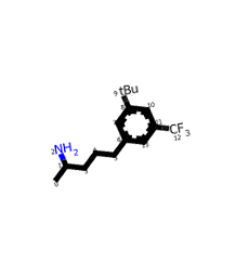 CC(N)CCCc1cc(C(C)(C)C)cc(C(F)(F)F)c1